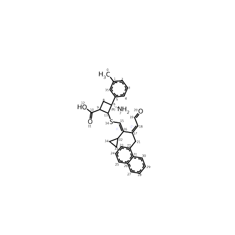 Cc1cccc([C@]2(N)CC(C(=O)O)C2S/C=C(/C(=C\C=O)Cc2cccc3ccccc23)C2CC2)c1